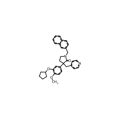 COc1ccc(C2(Cc3ccncc3)CCN(Cc3ccc4ccccc4c3)C2=O)cc1OC1CCCC1